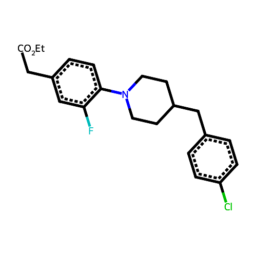 CCOC(=O)Cc1ccc(N2CCC(Cc3ccc(Cl)cc3)CC2)c(F)c1